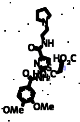 COc1ccc(C(=O)Nc2nc(C(=O)NCCN3CCCC3)cs2)cc1OC.O=C(O)/C=C\C(=O)O